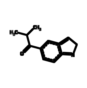 CC(C)C(=O)c1ccc2c(c1)=CCN=2